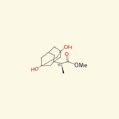 COC(=O)[C@@H](C)C12CC3CC(O)(CC(O)(C3)C1)C2